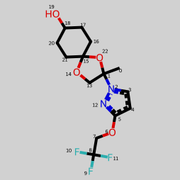 CC1(n2ccc(OCC(F)(F)F)n2)COC2(CCC(O)CC2)O1